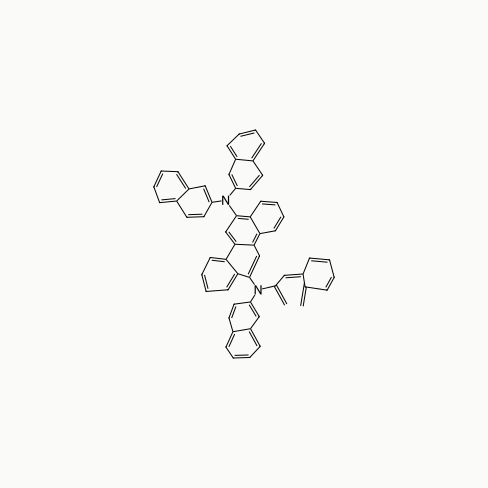 C=C(/C=c1/ccccc1=C)N(c1ccc2ccccc2c1)c1cc2c3ccccc3c(N(c3ccc4ccccc4c3)c3ccc4ccccc4c3)cc2c2ccccc12